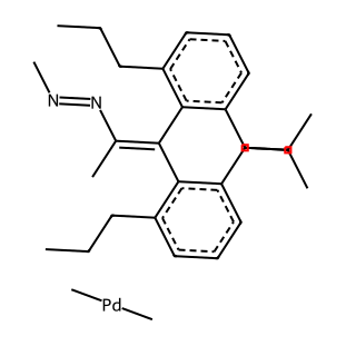 CCCc1cccc(CCC)c1C(=C(C)N=NC)c1c(CCC)cccc1CCC.[CH3][Pd][CH3]